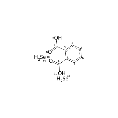 O=C(O)c1ccccc1C(=O)O.[SeH2].[SeH2]